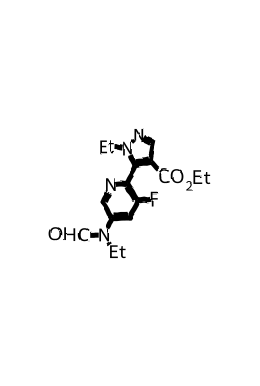 CCOC(=O)c1cnn(CC)c1-c1ncc(N(C=O)CC)cc1F